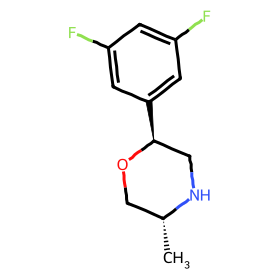 C[C@@H]1CO[C@@H](c2cc(F)cc(F)c2)CN1